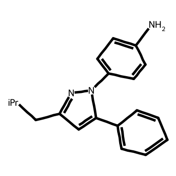 CC(C)Cc1cc(-c2ccccc2)n(-c2ccc(N)cc2)n1